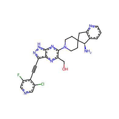 N[C@@H]1c2cccnc2CC12CCN(c1nc3[nH]nc(C#Cc4c(F)cncc4Cl)c3nc1CO)CC2